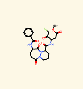 CC(C)(C)OC(=O)CC(NC(=O)C1CCCN2C(=O)CCC(NC(=O)c3ccccc3)C(=O)N12)C(=O)CF